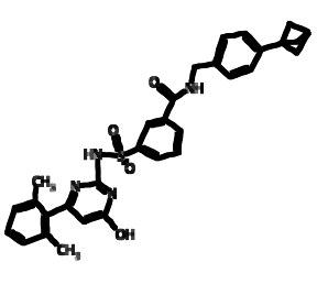 Cc1cccc(C)c1-c1cc(O)nc(NS(=O)(=O)c2cccc(C(=O)NCc3ccc(C45CC(C4)C5)cc3)c2)n1